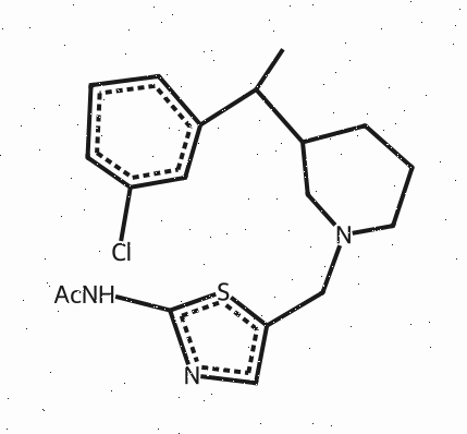 CC(=O)Nc1ncc(CN2CCCC(C(C)c3cccc(Cl)c3)C2)s1